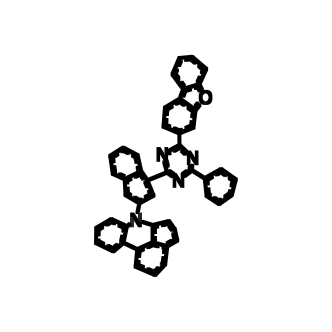 c1ccc(-c2nc(-c3ccc4c(c3)oc3ccccc34)nc(-c3cc(N4c5ccccc5-c5cccc6cccc4c56)cc4ccccc34)n2)cc1